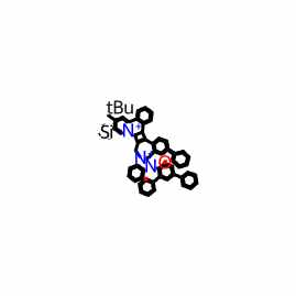 CC(C)(C)Cc1cc2[n+](cc1[Si](C)(C)C)C1C3=C(c4ccc5c(oc6ccccc65)c4-c4n(-c5ccc(-c6ccccc6)cc5-c5ccccc5)c5ccccc5[n+]4C3)C1c1ccccc1-2